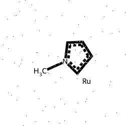 Cn1cccc1.[Ru]